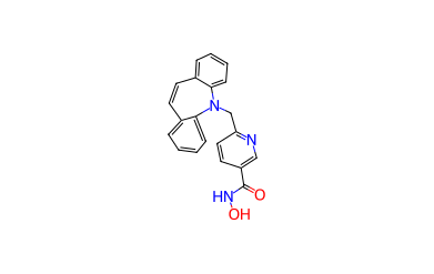 O=C(NO)c1ccc(CN2c3ccccc3C=Cc3ccccc32)nc1